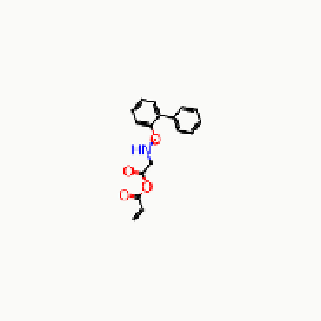 C=CC(=O)OC(=O)CNOc1ccccc1-c1ccccc1